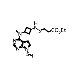 CCOC(=O)CCSN[C@H]1C[C@@H](N(C)c2ncnc3c2ccn3SI)C1